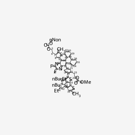 CCCCCCCCCOC(=O)OCCc1cc(-c2c3nc(F)c(F)nc3c(-c3cc(CCOC(=O)OC)c(-c4cc5c(s4)-c4sc(C)cc4[Si]5(CC(CC)CCCC)CC(CC)CCCC)s3)c3c4ccccc4c4ccccc4c23)sc1C